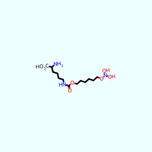 NC(CCCCNC(=O)OCCCCCCON(O)O)C(=O)O